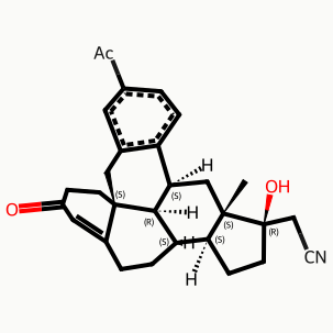 CC(=O)c1ccc2c(c1)C[C@]13CCC(=O)C=C1CC[C@@H]1[C@@H]3[C@@H]2C[C@@]2(C)[C@H]1CC[C@@]2(O)CC#N